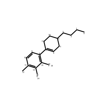 CCCCC1CC=C(c2ccc(C)c(F)c2F)CC1